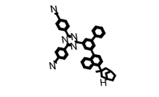 CC1(c2ccc(-c3cc(-c4ccccc4)cc(-c4nc(-c5ccc(C#N)cc5)nc(-c5ccc(C#N)cc5)n4)c3)c3ccccc23)CC2CC[C@@H](C2)C1